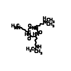 CNCCCCC1CC(=O)NC(CCCCNC(C)C)CC(=O)NC(CCCCNC(C)C)CC(=O)N1